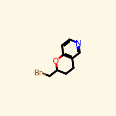 BrCC1CCc2cnccc2O1